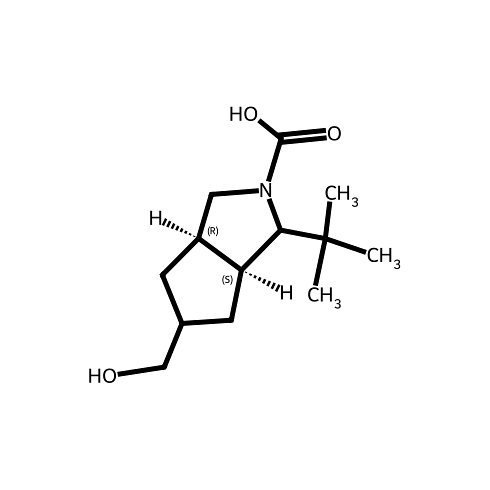 CC(C)(C)C1[C@H]2CC(CO)C[C@H]2CN1C(=O)O